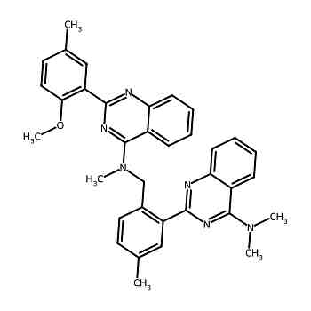 COc1ccc(C)cc1-c1nc(N(C)Cc2ccc(C)cc2-c2nc(N(C)C)c3ccccc3n2)c2ccccc2n1